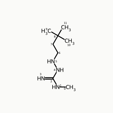 CNC(=N)NNCCC(C)(C)C